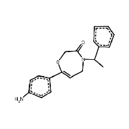 CC(c1ccccc1)N1CC=C(c2ccc(N)cc2)OCC1=O